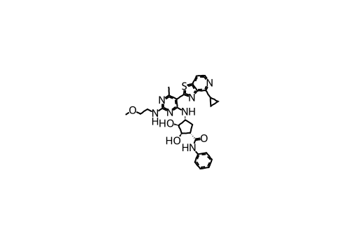 COCCNc1nc(C)c(-c2nc3c(C4CC4)nccc3s2)c(N[C@@H]2C[C@H](C(=O)Nc3ccccc3)[C@@H](O)[C@H]2O)n1